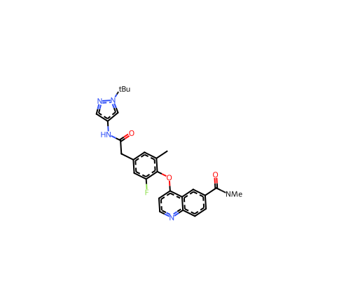 CNC(=O)c1ccc2nccc(Oc3c(C)cc(CC(=O)Nc4cnn(C(C)(C)C)c4)cc3F)c2c1